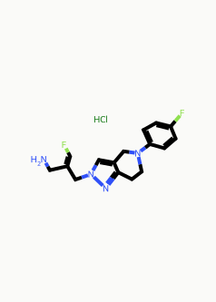 Cl.NCC(=CF)Cn1cc2c(n1)CCN(c1ccc(F)cc1)C2